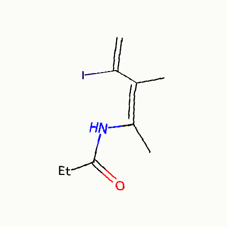 C=C(I)/C(C)=C(/C)NC(=O)CC